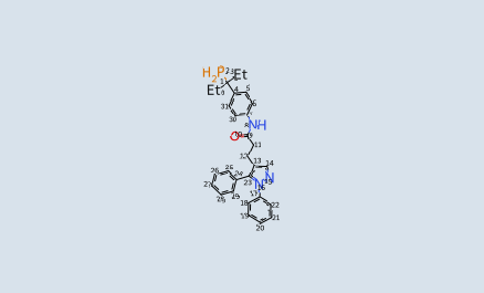 CCC(P)(CC)c1ccc(NC(=O)CCc2cnn(-c3ccccc3)c2-c2ccccc2)cc1